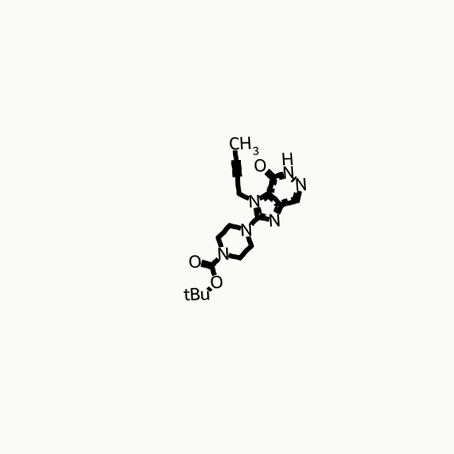 CC#CCn1c(N2CCN(C(=O)OC(C)(C)C)CC2)nc2cn[nH]c(=O)c21